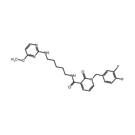 COc1ccnc(NCCCCCNC(=O)c2cccn(Cc3ccc(F)c(F)c3)c2=O)n1